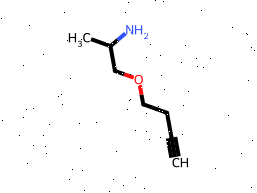 C#CCCOCC(C)N